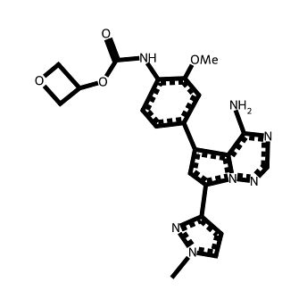 COc1cc(-c2cc(-c3ccn(C)n3)n3ncnc(N)c23)ccc1NC(=O)OC1COC1